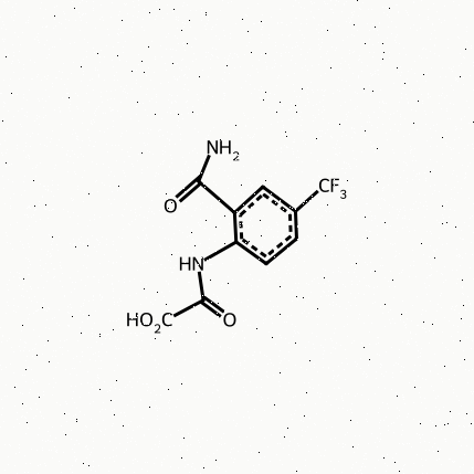 NC(=O)c1cc(C(F)(F)F)ccc1NC(=O)C(=O)O